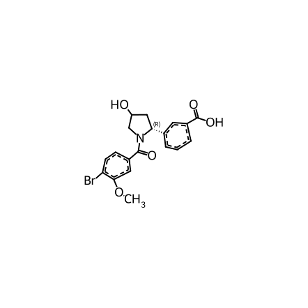 COc1cc(C(=O)N2CC(O)C[C@@H]2c2cccc(C(=O)O)c2)ccc1Br